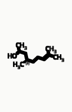 CC(C)=CCC[C@@H](C)CC(C)O